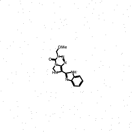 COCN1N=NC2=C(c3nc4ccccc4[nH]3)NCN2C1=O